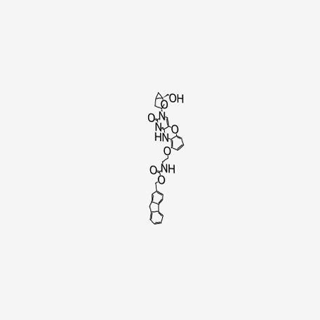 O=C(NCCOc1cccc2c1Nc1nc(=O)n([C@H]3CC4C[C@]4(CO)O3)cc1O2)OCc1ccc2c(c1)Cc1ccccc1-2